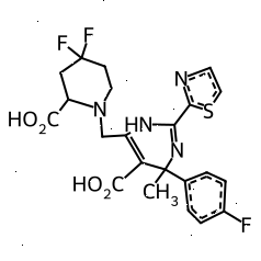 CC1(c2ccc(F)cc2)N=C(c2nccs2)NC(CN2CCC(F)(F)CC2C(=O)O)=C1C(=O)O